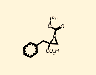 CC(C)(C)OC(=O)N1CC1(Cc1ccccc1)C(=O)O